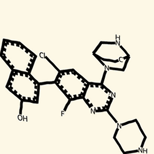 Oc1cc(-c2c(Cl)cc3c(N4CC5CCCC4CN5)nc(N4CCNCC4)nc3c2F)c2ccccc2c1